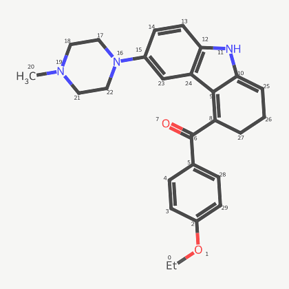 CCOc1ccc(C(=O)C2=c3c([nH]c4ccc(N5CCN(C)CC5)cc34)=CCC2)cc1